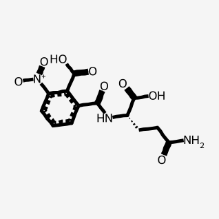 NC(=O)CC[C@H](NC(=O)c1cccc([N+](=O)[O-])c1C(=O)O)C(=O)O